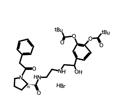 Br.CC(C)(C)C(=O)Oc1ccc(C(O)CNCCNC(=O)[C@@H]2CCCN2C(=O)Cc2ccccc2)cc1OC(=O)C(C)(C)C